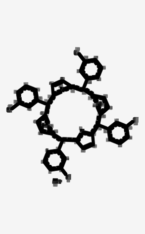 Clc1cccc(-c2c3nc(c(-c4cccc(Cl)c4)c4ccc([nH]4)c(-c4cccc(Cl)c4)c4nc(c(-c5cccc(Cl)c5)c5ccc2[nH]5)C=C4)C=C3)c1.[Mn]